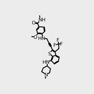 CNC(=O)c1ccc(NCC#Cc2sc3c(NC4CCN(C)CC4)cccc3c2CC(F)(F)F)c(OC)c1